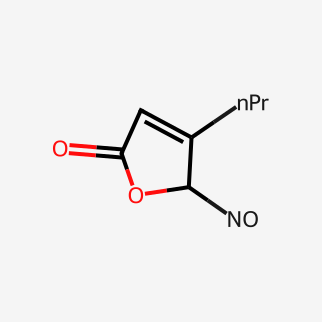 CCCC1=CC(=O)OC1N=O